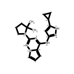 CC1(C)CCCN1c1nc(Nc2cc(C3CC3)[nH]n2)c2cccn2n1